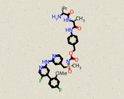 COc1cc(F)ccc1-c1cc(Nc2cc(C[S@](C)(=O)=NC(=O)OCc3ccc(NC(=O)[C@H](C)NC(=O)[C@@H](N)C(C)C)cc3)ccn2)ncc1F